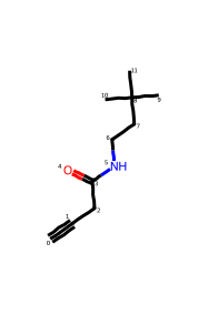 C#CCC(=O)NCCC(C)(C)C